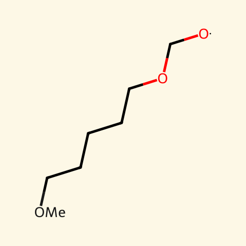 COCCCCCOC[O]